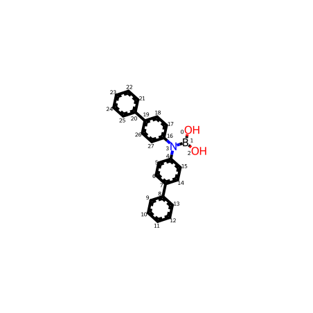 OB(O)N(c1ccc(-c2ccccc2)cc1)c1ccc(-c2ccccc2)cc1